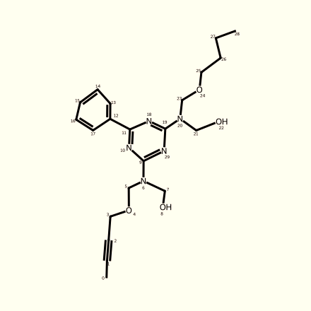 CC#CCOCN(CO)c1nc(-c2ccccc2)nc(N(CO)COCCCC)n1